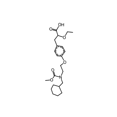 CCOC(Cc1ccc(OCCN(CC2CCCCC2)C(=O)OC)cc1)C(=O)O